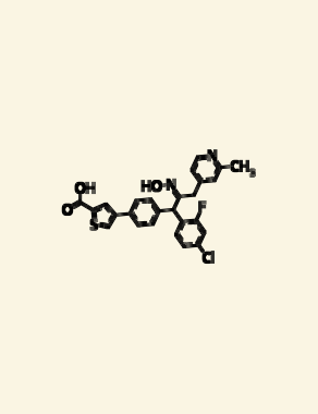 Cc1cc(CC(=NO)C(c2ccc(-c3csc(C(=O)O)c3)cc2)c2ccc(Cl)cc2F)ccn1